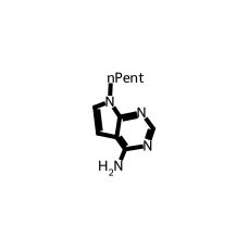 CCCCCn1ccc2c(N)ncnc21